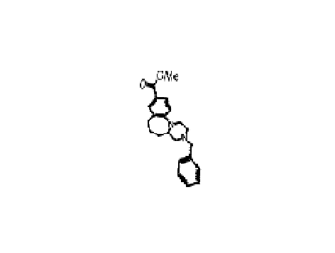 COC(=O)c1ccc2c(c1)CCCC1CN(Cc3ccccc3)CCN21